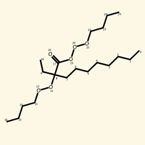 CCCCCCCCC(CC)(OOCCCC)C(=O)OOOCCCC